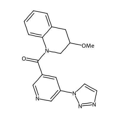 COC1Cc2ccccc2N(C(=O)c2cncc(-n3ccnn3)c2)C1